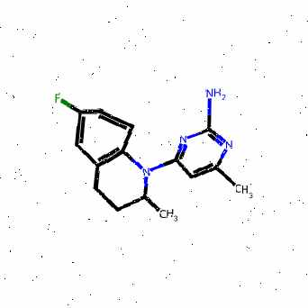 Cc1cc(N2c3ccc(F)cc3CCC2C)nc(N)n1